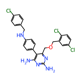 Nc1nc(N)c(-c2ccc(NCc3ccc(Cl)cc3)cc2)c(COCc2cc(Cl)ccc2Cl)n1